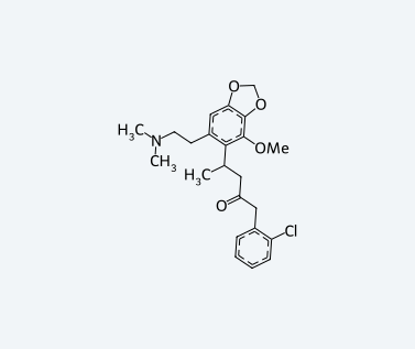 COc1c2c(cc(CCN(C)C)c1C(C)CC(=O)Cc1ccccc1Cl)OCO2